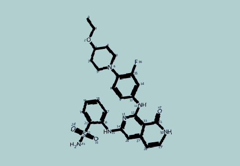 CCOC1CCN(c2ccc(Nc3nc(Nc4ccccc4S(N)(=O)=O)cc4cc[nH]c(=O)c34)cc2F)CC1